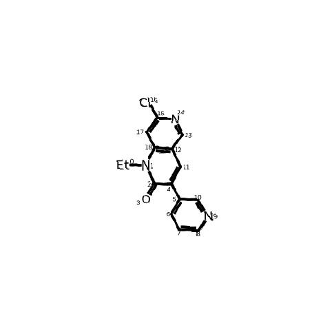 CCn1c(=O)c(-c2cccnc2)cc2cnc(Cl)cc21